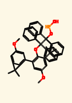 COc1cc(-c2cc(OC)cc3c2C3(C)C)c(OC(c2ccccc2)(c2ccccc2)C(OPO)(c2ccccc2)c2ccccc2)c(C(C)(C)C)c1